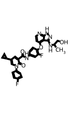 CC(CO)Nc1n[nH]c2nccc(Oc3ccc(NC(=O)c4cc(C5CC5)cn(-c5ccc(F)cc5)c4=O)cc3F)c12